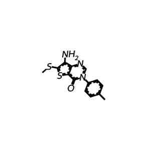 CSc1sc2c(=O)n(-c3ccc(C)cc3)cnc2c1N